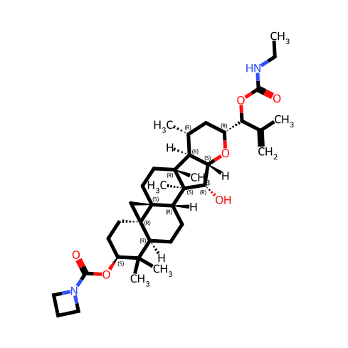 C=C(C)C(OC(=O)NCC)[C@H]1C[C@@H](C)[C@H]2[C@H](O1)[C@H](O)[C@@]1(C)[C@@H]3CC[C@H]4C(C)(C)[C@@H](OC(=O)N5CCC5)CC[C@@]45C[C@@]35CC[C@]21C